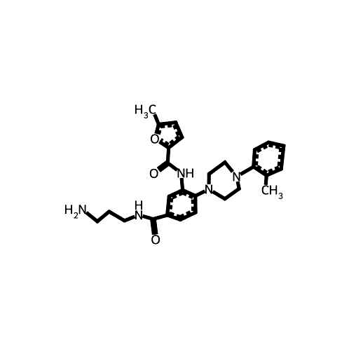 Cc1ccc(C(=O)Nc2cc(C(=O)NCCCN)ccc2N2CCN(c3ccccc3C)CC2)o1